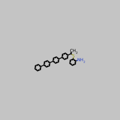 C=C(Sc1ccccc1N)c1ccc(-c2ccc(-c3ccc(-c4ccccc4)cc3)cc2)cc1